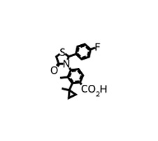 Cc1c(N2C(=O)CSC2c2ccc(F)cc2)ccc(C(=O)O)c1C1(C)CC1